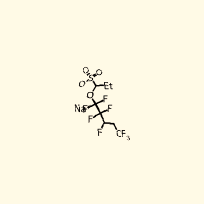 CCC(OC(F)(F)C(F)(F)C(F)CC(F)(F)F)S(=O)(=O)[O-].[Na+]